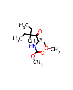 CCC(C)(CC)C(=O)[C@H](COC)NC(=O)OC